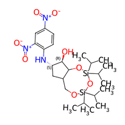 CC(C)[Si]1(C(C)C)OCC2C[C@H](Nc3ccc([N+](=O)[O-])cc3[N+](=O)[O-])[C@@H](O)C2O[Si](C(C)C)(C(C)C)O1